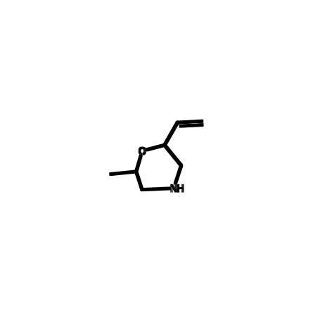 C=CC1CNCC(C)O1